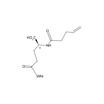 C=CCCC(=O)N[C@@H](CCC(=O)SC)C(=O)O